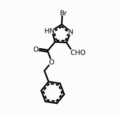 O=Cc1nc(Br)[nH]c1C(=O)OCc1ccccc1